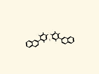 [2H]c1c([2H])c(-c2ccc3ccccc3c2)c([2H])c([2H])c1Nc1c([2H])c([2H])c(-c2ccc3ccccc3c2)c([2H])c1[2H]